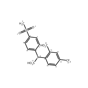 CS(=O)(=O)c1ccc(N(c2ccc(C(F)(F)F)cc2C(=O)O)S(=O)(=O)O)cc1